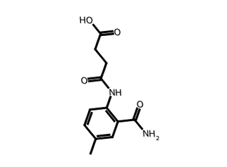 Cc1ccc(NC(=O)CCC(=O)O)c(C(N)=O)c1